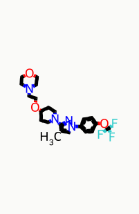 Cc1cn(-c2ccc(OC(F)(F)F)cc2)nc1N1CCC(OCCN2CCOCC2)CC1